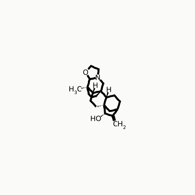 C=C1C2CC[C@@H]3[C@@](CC[C@H]4[C@@]35CCC[C@@]4(C)C3OCCN3C5)(C2)[C@H]1O